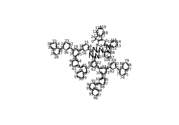 CC1(C)C2=C(C=C3C(C2)N(c2nc(-c4cccc(-c5cc(-c6cccc(-c7cccc8ccccc78)c6)cc(-c6cccc(-c7cccc8ccccc78)c6)c5)c4)nc(-c4cccc(-c5cc(-c6cccc(-c7cccc8ccccc78)c6)cc(-c6cccc(-c7cccc8ccccc78)c6)c5)c4)n2)c2ccccc2N3c2ccccc2)c2ccccc21